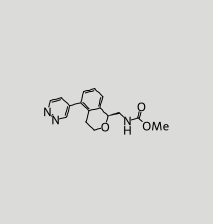 COC(=O)NC[C@H]1OCCc2c(-c3ccnnc3)cccc21